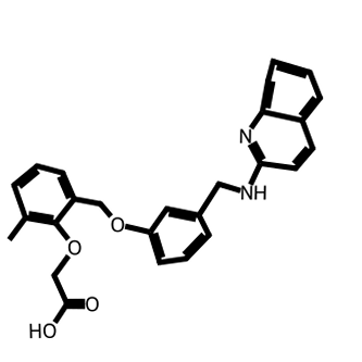 Cc1cccc(COc2cccc(CNc3ccc4ccccc4n3)c2)c1OCC(=O)O